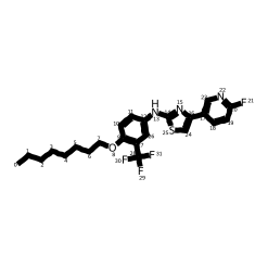 CCCCCCCCOc1ccc(Nc2nc(-c3ccc(F)nc3)cs2)cc1C(F)(F)F